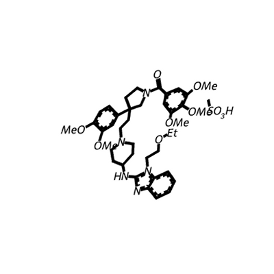 CCOCCn1c(NC2CCN(CCC3(c4ccc(OC)c(OC)c4)CCN(C(=O)c4cc(OC)c(OC)c(OC)c4)C3)CC2)nc2ccccc21.CS(=O)(=O)O